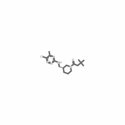 Cc1nc(NC[C@@H]2CCCN(C(=O)CC(C)(C)C)C2)nnc1Cl